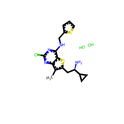 Cc1c(C[C@@H](N)C2CC2)sc2c(NCc3cccs3)nc(Cl)nc12.Cl.Cl